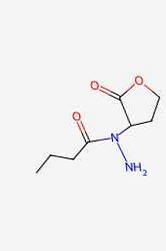 CCCC(=O)N(N)C1CCOC1=O